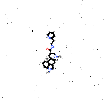 CC(C)n1cc2c3c(cccc31)[C@H]1C[C@@H](C(=O)NCCc3ccccn3)CN(C)[C@@H]1C2